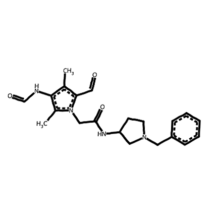 Cc1c(NC=O)c(C)n(CC(=O)NC2CCN(Cc3ccccc3)C2)c1C=O